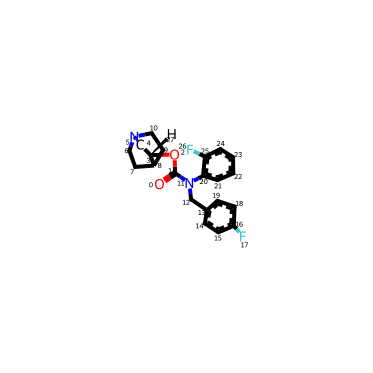 O=C(O[C@H]1CN2CCC1CC2)N(Cc1ccc(F)cc1)c1ccccc1F